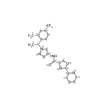 CC(c1ccc(C(F)(F)F)cc1C(F)(F)F)n1cc(NC(=O)c2coc(-c3ccccn3)n2)cn1